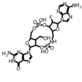 Nc1nc2c(ncn2C2OC3COP(=O)(O)OC4C(CNP(=O)(O)OC2C3CO)OC(n2cnc3c(N)ncnc32)C4F)c(=O)[nH]1